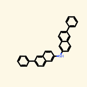 c1ccc(-c2ccc3cc(Nc4ccc5cc(-c6ccccc6)ccc5c4)ccc3c2)cc1